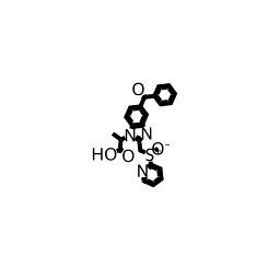 CC(C(=O)O)n1c(C[S+]([O-])c2ccccn2)nc2cc(C(=O)c3ccccc3)ccc21